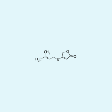 CC(C)=CCSC1=CC(=O)OC1